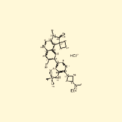 CCN(C)C1CN(c2ncc(-c3cc4c5c(cnc4cc3F)N(C)C(=O)C53CCC3)cc2NS(C)(=O)=O)C1.Cl